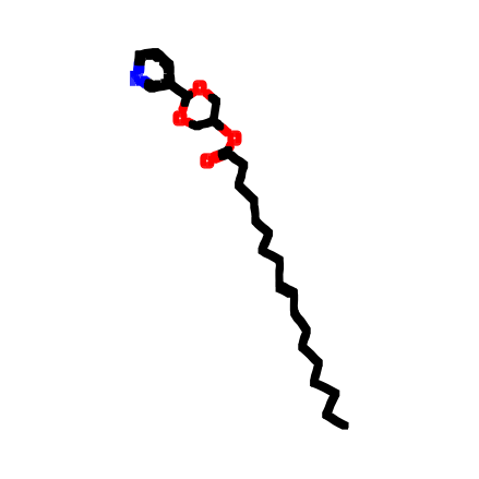 CCCCCCCCC=CCCCCCCCC(=O)OC1COC(c2cccnc2)OC1